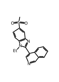 CCn1c(-c2cncc3ccccc23)nc2cc(S(C)(=O)=O)ccc21